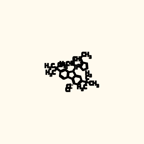 CCC1=[C]([Ti+2]([CH]2c3cc(C(C)(C)C)ccc3-c3ccc(C(C)(C)C)cc32)=[Si](C)C)CC=C1.[Cl-].[Cl-]